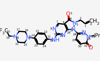 C=CCn1c(=O)c2cnc(Nc3ccc(N4CCN(CC(F)(F)F)CC4)cc3)nc2n1-c1ccc(=O)n(C(C)C)n1